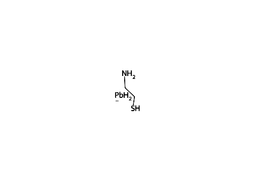 NCCS.[PbH2]